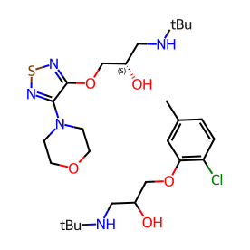 CC(C)(C)NC[C@H](O)COc1nsnc1N1CCOCC1.Cc1ccc(Cl)c(OCC(O)CNC(C)(C)C)c1